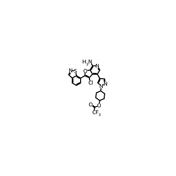 Nc1ncc(-c2cnn(C3CCC(OC(=O)C(F)(F)F)CC3)c2)c2c(Cl)c(-c3cccc4cnsc34)oc12